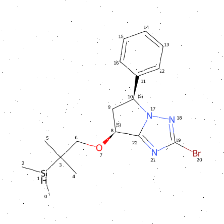 C[SiH](C)C(C)(C)CO[C@H]1C[C@@H](c2ccccc2)n2nc(Br)nc21